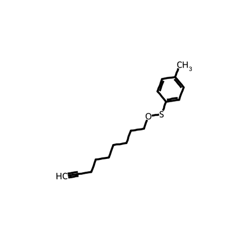 C#CCCCCCCCOSc1ccc(C)cc1